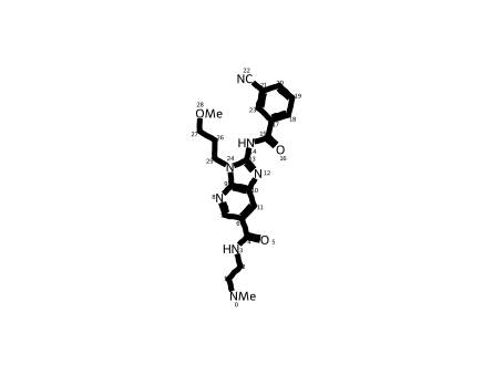 CNCCNC(=O)c1cnc2c(c1)nc(NC(=O)c1cccc(C#N)c1)n2CCCOC